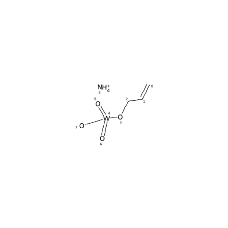 C=CC[O][W](=[O])(=[O])[O-].[NH4+]